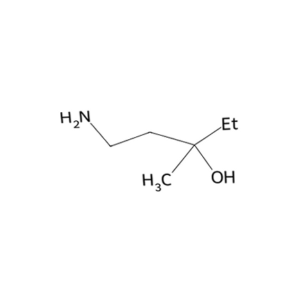 CCC(C)(O)CCN